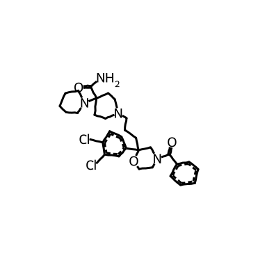 NC(=O)C1(N2CCCCC2)CCN(CCCC2(c3ccc(Cl)c(Cl)c3)CN(C(=O)c3ccccc3)CCO2)CC1